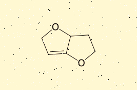 C1=C2OCCC2OC1